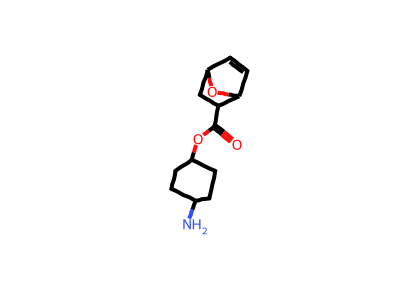 NC1CCC(OC(=O)C2CC3C=CC2O3)CC1